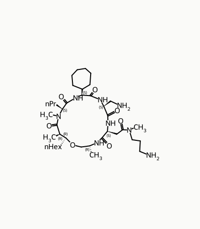 CCCCCC[C@H]1OC[C@@H](C)NC(=O)[C@H](CC(=O)N(C)CCCN)NC(=O)[C@H](CN)NC(=O)[C@H](C2CCCCCC2)NC(=O)[C@H](CCC)N(C)C(=O)[C@@H]1C